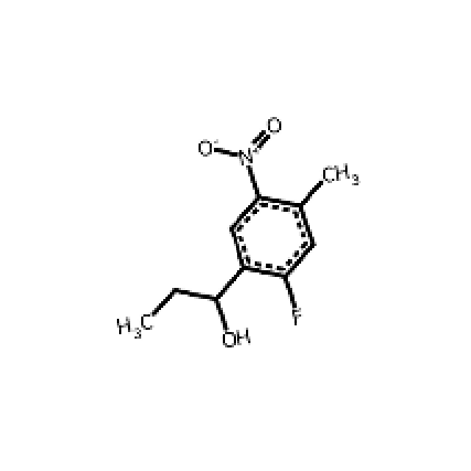 CCC(O)c1cc([N+](=O)[O-])c(C)cc1F